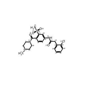 CN1CCN(C(=O)c2ccc(NC(=O)Cc3ccccc3Cl)cc2S(N)(=O)=O)CC1